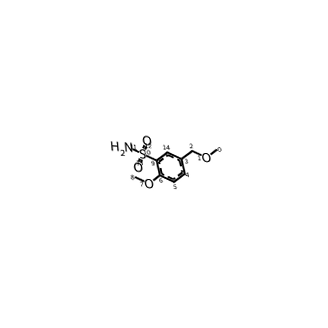 COCc1ccc(OC)c(S(N)(=O)=O)c1